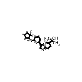 C[C@](O)(c1ccc2ncc(-c3cccc(N[C@H]4CCCC4(F)F)n3)n2c1)C(F)(F)F